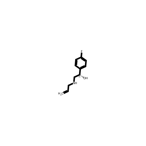 C=CCNC[C@@H](O)c1ccc(F)cc1